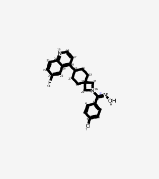 O/N=C(\c1ccc(Cl)cc1)N1CC2(CCC(c3ccnc4ccc(F)cc34)CC2)C1